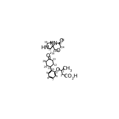 CC(CC(=O)O)Oc1ccccc1C1CCC(OC[C@@H]2NCC[C@@]23COCC(=O)N3)CC1